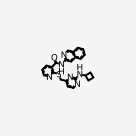 O=C(Nc1cc2ccccc2cn1)c1cccnc1SCc1ccnc(NC2CCC2)n1